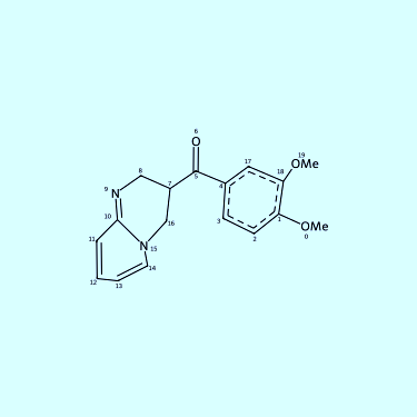 COc1ccc(C(=O)C2CN=C3C=CC=CN3C2)cc1OC